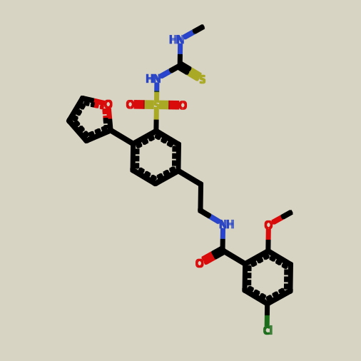 CNC(=S)NS(=O)(=O)c1cc(CCNC(=O)c2cc(Cl)ccc2OC)ccc1-c1ccco1